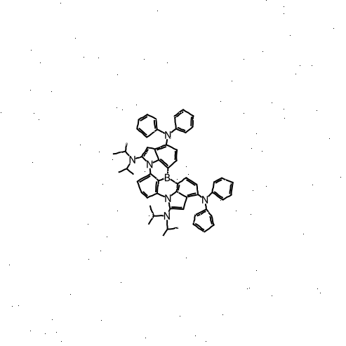 CC(C)N(c1cc2c(N(c3ccccc3)c3ccccc3)ccc3c2n1-c1cccc2c1B3c1ccc(N(c3ccccc3)c3ccccc3)c3cc(N(C(C)C)C(C)C)n-2c13)C(C)C